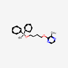 CC(=O)Oc1nccnc1OCCCCO[Si](c1ccccc1)(c1ccccc1)C(C)(C)C